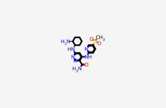 CS(=O)(=O)c1ccc(Nc2cc(N[C@@H]3CCCC[C@@H]3N)nnc2C(N)=O)nc1